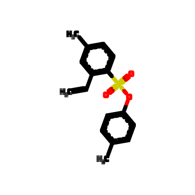 C=Cc1cc(C)ccc1S(=O)(=O)Oc1ccc(C)cc1